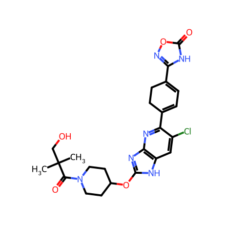 CC(C)(CO)C(=O)N1CCC(Oc2nc3nc(C4=CC=C(c5noc(=O)[nH]5)CC4)c(Cl)cc3[nH]2)CC1